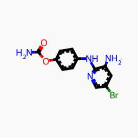 NC(=O)Oc1ccc(Nc2ncc(Br)cc2N)cc1